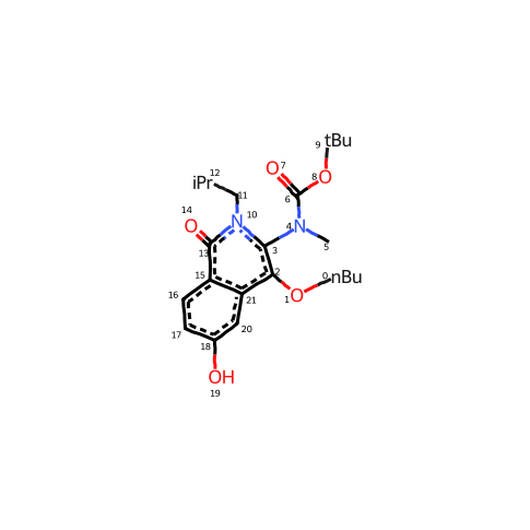 CCCCOc1c(N(C)C(=O)OC(C)(C)C)n(CC(C)C)c(=O)c2ccc(O)cc12